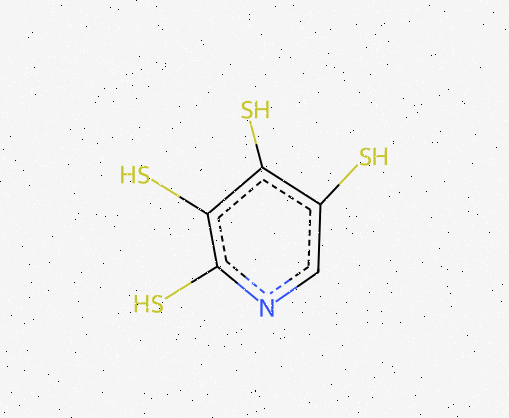 Sc1cnc(S)c(S)c1S